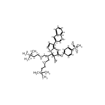 C[Si](C)(C)CCOCN(COCC[Si](C)(C)C)c1c(Br)c(Oc2ccc(S(C)(=O)=O)cc2)nc2c(-c3cnc4ccccc4c3)cnn12